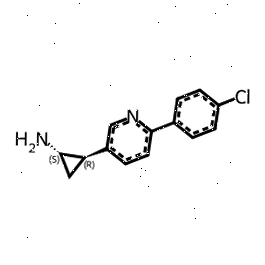 N[C@H]1C[C@@H]1c1ccc(-c2ccc(Cl)cc2)nc1